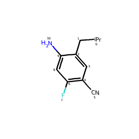 CC(C)Cc1cc(C#N)c(F)cc1N